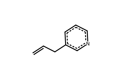 C=CCc1cccnc1